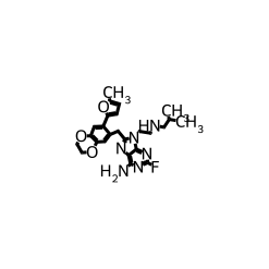 Cc1ccc(-c2cc3c(cc2Cc2nc4c(N)nc(F)nc4n2CCNCC(C)C)OCCO3)o1